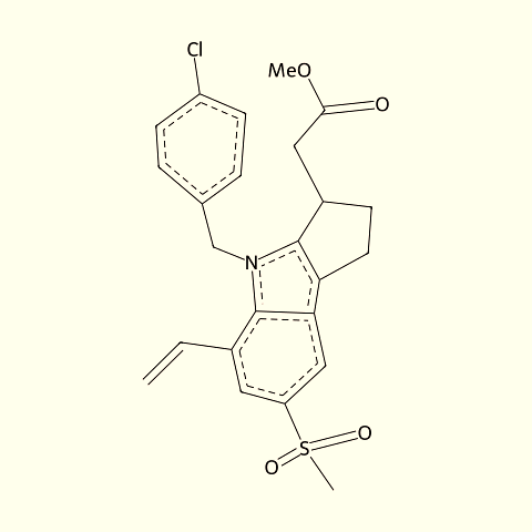 C=Cc1cc(S(C)(=O)=O)cc2c3c(n(Cc4ccc(Cl)cc4)c12)C(CC(=O)OC)CC3